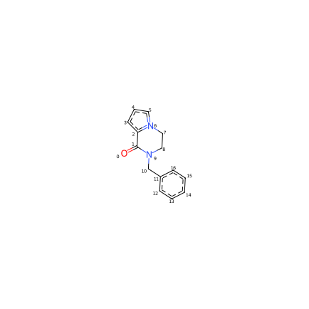 O=C1c2cccn2CCN1Cc1ccccc1